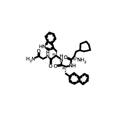 NC(=O)CNC(=O)[C@H](Cc1c[nH]c2ccccc12)NC(=O)[C@@H](Cc1ccc2ccccc2c1)NC(=O)[C@@H](N)CC1CCCCC1